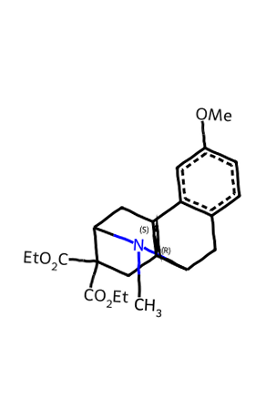 CCOC(=O)C1(C(=O)OCC)C[C@]23CCCC[C@@]24CC1N(C)C3Cc1ccc(OC)cc14